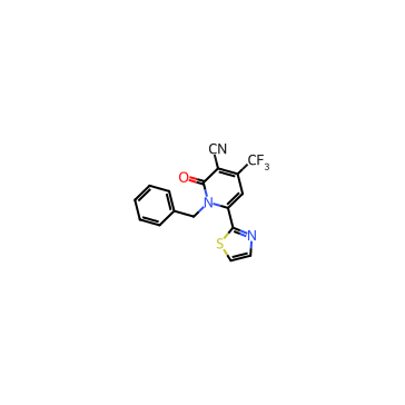 N#Cc1c(C(F)(F)F)cc(-c2nccs2)n(Cc2ccccc2)c1=O